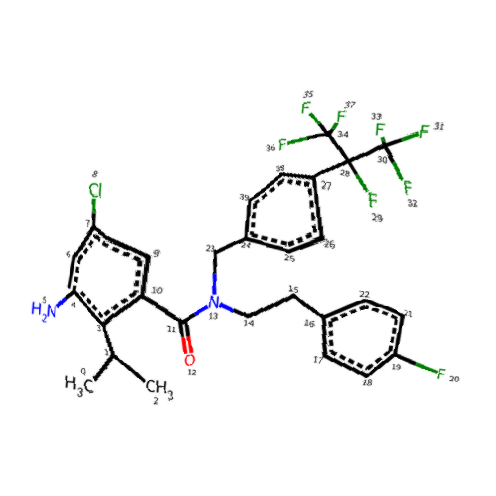 CC(C)c1c(N)cc(Cl)cc1C(=O)N(CCc1ccc(F)cc1)Cc1ccc(C(F)(C(F)(F)F)C(F)(F)F)cc1